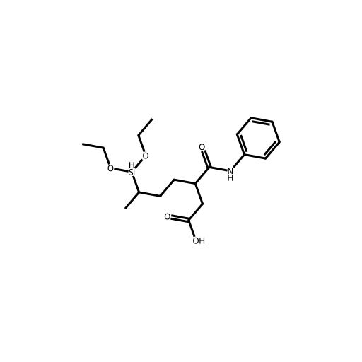 CCO[SiH](OCC)C(C)CCC(CC(=O)O)C(=O)Nc1ccccc1